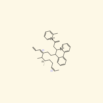 C=C/C=C(/CCC1c2ccccc2-c2cccc[n+]2C1CC(=C)[n+]1ccccc1C)C(C)[C@@H](C)CC/C=C\C